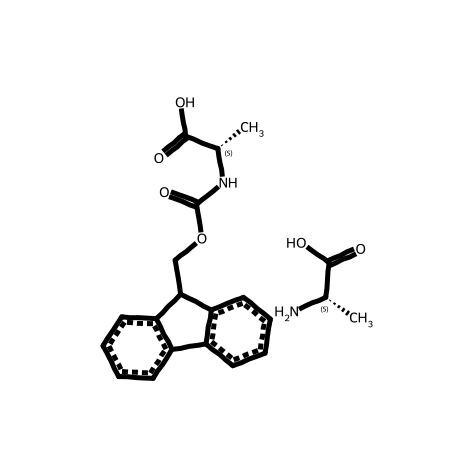 C[C@H](N)C(=O)O.C[C@H](NC(=O)OCC1c2ccccc2-c2ccccc21)C(=O)O